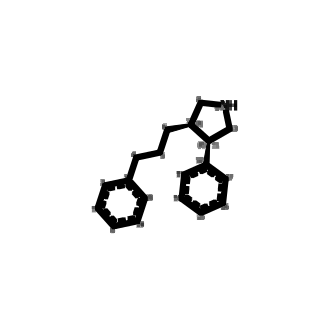 c1ccc(CCC[C@H]2CNC[C@H]2c2ccccc2)cc1